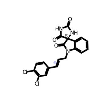 O=C1NC(=O)[C@@]2(N1)C(=O)N(C/C=C/c1ccc(Cl)c(Cl)c1)c1ccccc12